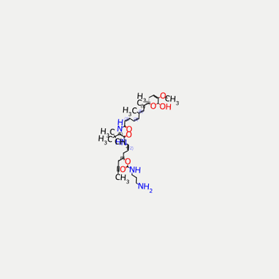 CC#CC[C@@H](C/C=C\NC(=O)[C@@H](NC(=O)\C=C/C=C\C(C)=C\[C@H](C)[C@@H]1CC=C(OC)C(O)O1)C(C)(C)C)OC(=O)NCCCN